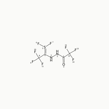 O=C(NNC(=S(F)F)C(F)(F)F)C(F)(F)F